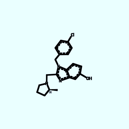 C[C@H]1CCCN1Cc1nc2cc(O)ccc2n1Cc1ccc(Cl)cc1